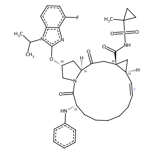 CC(C)n1c(O[C@@H]2C[C@H]3C(=O)C[C@]4(C(=O)NS(=O)(=O)C5(C)CC5)C[C@H]4/C=C\CCCCC[C@H](Nc4ccccc4)C(=O)N3C2)nc2c(F)cccc21